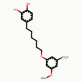 CCCCCCCCCCOc1cc(OCCCCCCc2ccc(O)c(O)c2)cc(C(=O)O)c1